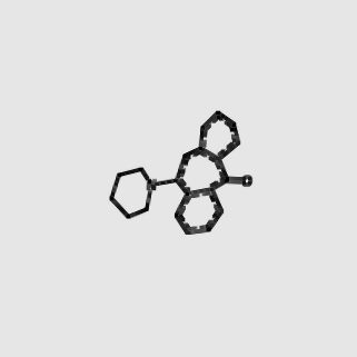 O=c1c2ccccc2cc(N2CCCCC2)c2ccccc12